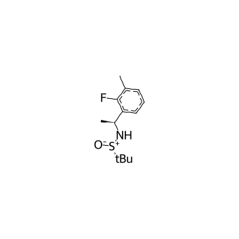 Cc1cccc([C@H](C)N[S@@+]([O-])C(C)(C)C)c1F